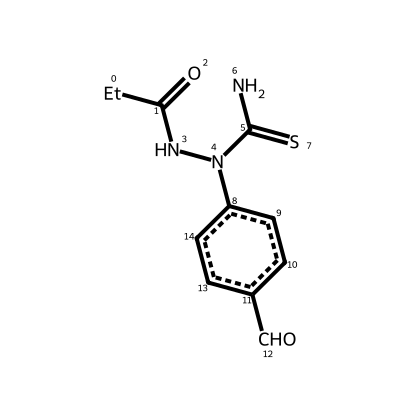 CCC(=O)NN(C(N)=S)c1ccc(C=O)cc1